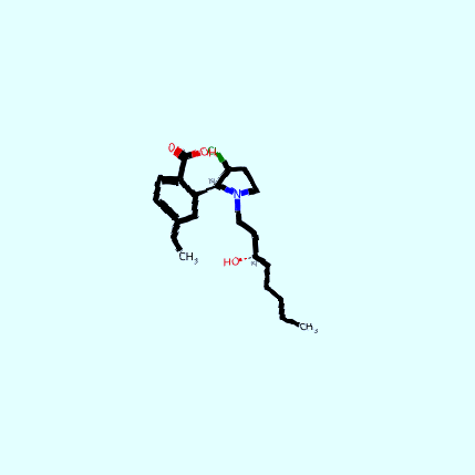 CCCCC[C@H](O)CCN1CCC(Cl)[C@@H]1C1CC(CC)=CC=C1C(=O)O